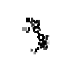 Cc1cc(-c2ccc(NS(=O)(=O)CCC(F)(F)F)c(F)c2)nc2cnc(N)nc12